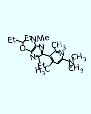 CCc1nc(OC(CC)CC)c(NC)nc1-c1c(C)cc(N(C)C)nc1C